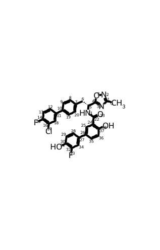 Cc1noc([C@@H](Cc2ccc(-c3ccc(F)c(Cl)c3)cc2)NC(=O)c2cc(-c3ccc(O)c(F)c3)ccc2O)n1